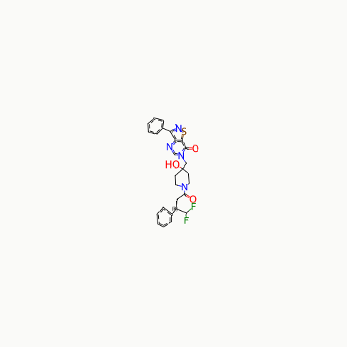 O=C(C[C@H](c1ccccc1)C(F)F)N1CCC(O)(Cn2cnc3c(-c4ccccc4)nsc3c2=O)CC1